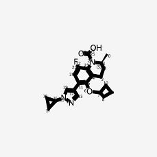 C[C@H]1CCc2c(OC3CCC3)c(-c3cnn(C4CC4)c3)cc(F)c2N1C(=O)O